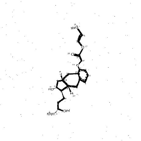 CCCCC[C@@H](O)CC[C@@H]1[C@H]2Cc3cccc(OCC(=O)OCCOC)c3C[C@H]2C[C@H]1O